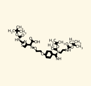 CC(C)(C)OC(=O)NCCN(C(=N)c1ccc(OCCON=C(C(=O)O)c2csc(NC(=O)OC(C)(C)C)n2)cc1)C(=O)OC(C)(C)C